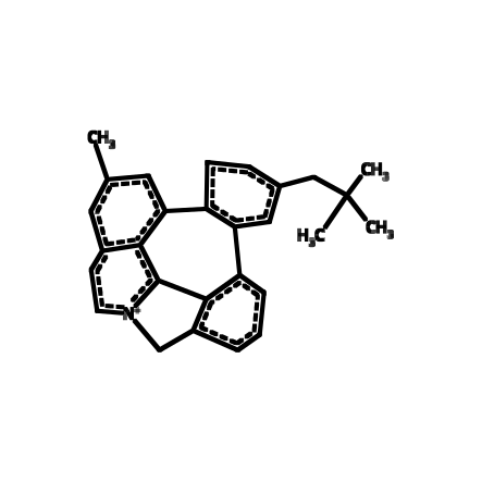 Cc1cc2c3c4[n+](ccc3c1)Cc1cccc(c1-4)-c1cc(CC(C)(C)C)ccc1-2